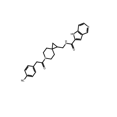 N#Cc1ccc(CC(=O)N2CCC3(CC2)CC3CNC(=O)c2cc3cnccc3[nH]2)cc1